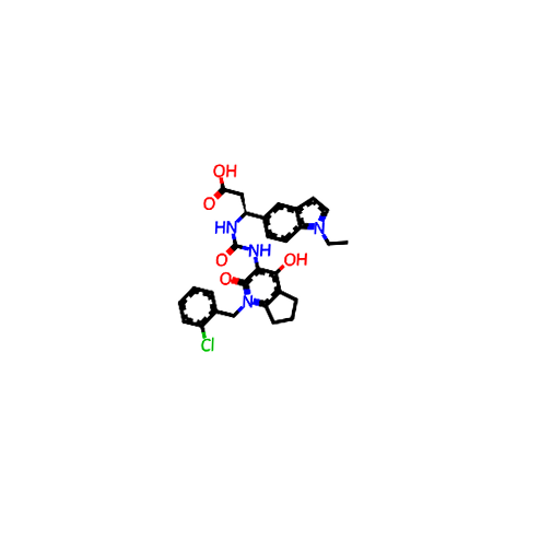 CCn1ccc2cc([C@H](CC(=O)O)NC(=O)Nc3c(O)c4c(n(Cc5ccccc5Cl)c3=O)CCC4)ccc21